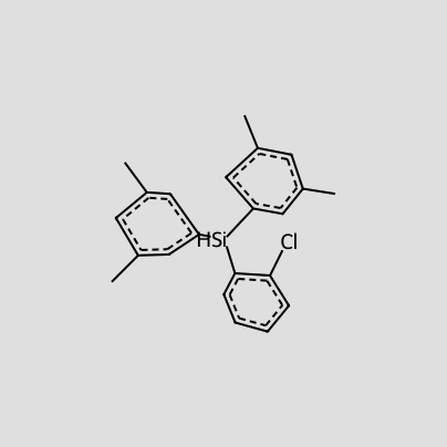 Cc1cc(C)cc([SiH](c2cc(C)cc(C)c2)c2ccccc2Cl)c1